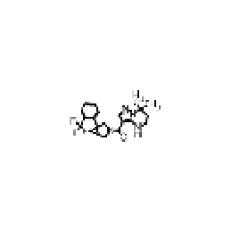 CC1(C)CCNc2c(C(=O)N3CC4CC4(c4ccccc4C(F)(F)F)C3)cnn21